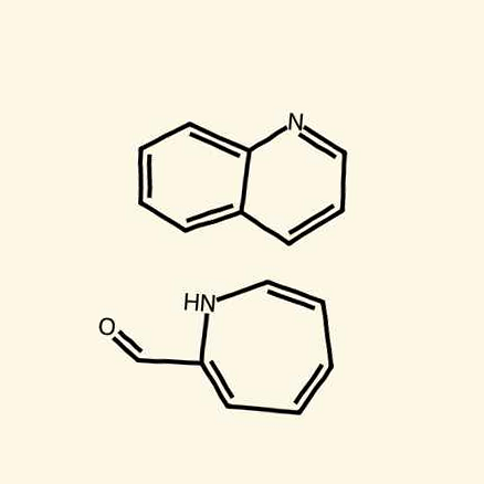 O=CC1=CC=CC=CN1.c1ccc2ncccc2c1